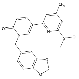 C[S+]([O-])c1nc(-c2ccc(=O)n(Cc3ccc4c(c3)OCO4)c2)cc(C(F)(F)F)n1